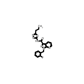 CCCc1nnc(NC(=O)c2nn(Cc3ccccc3F)c3ncccc23)s1